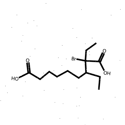 CCC(CCCCCC(=O)O)C(Br)(CC)C(=O)O